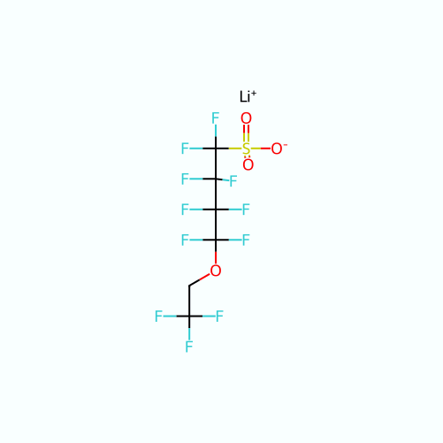 O=S(=O)([O-])C(F)(F)C(F)(F)C(F)(F)C(F)(F)OCC(F)(F)F.[Li+]